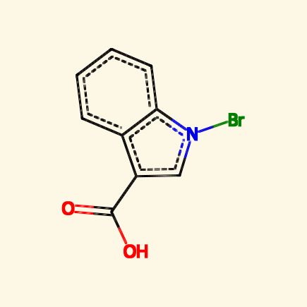 O=C(O)c1cn(Br)c2ccccc12